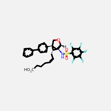 O=C(O)CCC/C=C\C[C@H]1[C@H](NS(=O)(=O)c2c(F)c(F)c(F)c(F)c2F)[C@@H]2C[C@@]1(c1ccc(-c3ccccc3)cc1)CO2